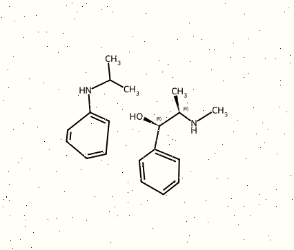 CC(C)Nc1ccccc1.CN[C@H](C)[C@H](O)c1ccccc1